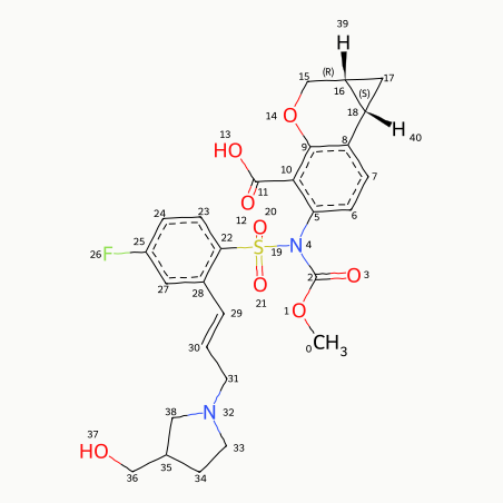 COC(=O)N(c1ccc2c(c1C(=O)O)OC[C@@H]1C[C@H]21)S(=O)(=O)c1ccc(F)cc1C=CCN1CCC(CO)C1